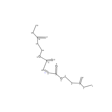 C=C(CC)CCOC(=O)/C=C\C(=O)OCCC(=C)CC